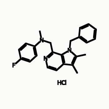 Cc1c(C)n(Cc2ccccc2)c2c(CN(C)c3ccc(F)cc3)nccc12.Cl